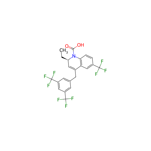 CC[C@@H]1C=C(Cc2cc(C(F)(F)F)cc(C(F)(F)F)c2)c2cc(C(F)(F)F)ccc2N1C(=O)O